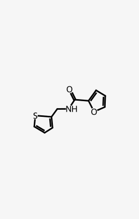 O=C(NCc1cccs1)c1ccco1